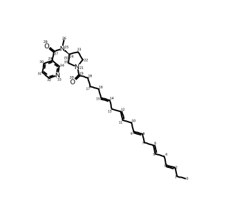 CCC=CCC=CCC=CCC=CCC=CCCCC(=O)N1CC[C@H](N(C)C(=O)c2cccnc2)C1